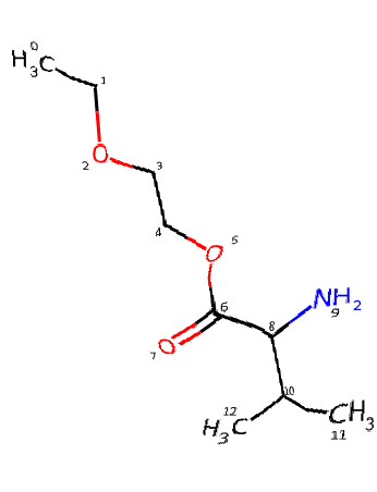 CCOCCOC(=O)C(N)C(C)C